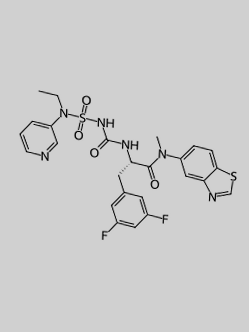 CCN(c1cccnc1)S(=O)(=O)NC(=O)N[C@@H](Cc1cc(F)cc(F)c1)C(=O)N(C)c1ccc2scnc2c1